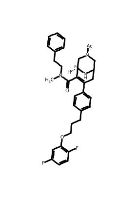 CC(=O)N1CC2CC(c3ccc(CCCOc4cc(F)ccc4F)cc3)=C(C(=O)N(C)CCc3ccccc3)[C@@H](C1)N2